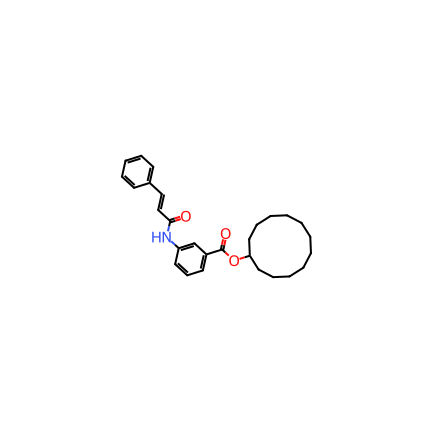 O=C(/C=C/c1ccccc1)Nc1cccc(C(=O)OC2CCCCCCCCCCC2)c1